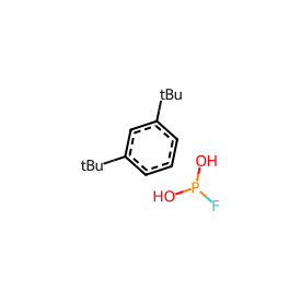 CC(C)(C)c1cccc(C(C)(C)C)c1.OP(O)F